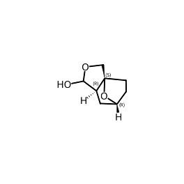 OC1OC[C@]23CC[C@H](C[C@@H]12)O3